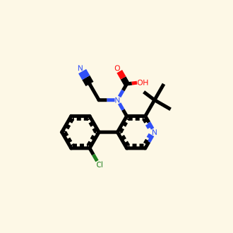 CC(C)(C)c1nccc(-c2ccccc2Cl)c1N(CC#N)C(=O)O